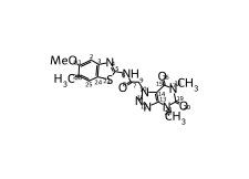 COc1cc2nc(NC(=O)Cn3nnc4c3c(=O)n(C)c(=O)n4C)sc2cc1C